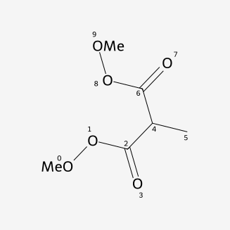 COOC(=O)C(C)C(=O)OOC